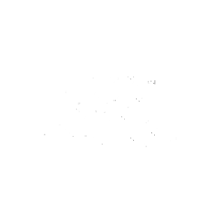 COc1ccc2nc(N)nc(Nc3cn(C)cn3)c2c1[C@H](C)c1ncc(F)cc1F